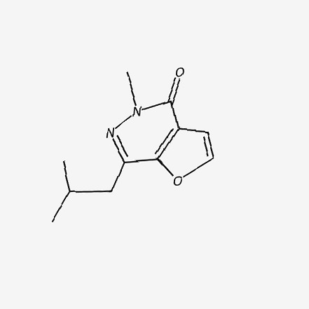 CC(C)Cc1nn(C)c(=O)c2ccoc12